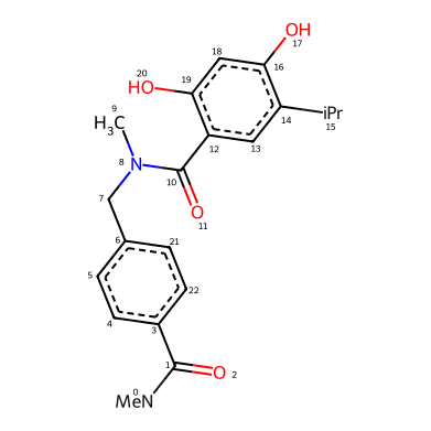 CNC(=O)c1ccc(CN(C)C(=O)c2cc(C(C)C)c(O)cc2O)cc1